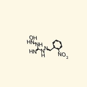 N=C(NN=Cc1ccccc1[N+](=O)[O-])NNO